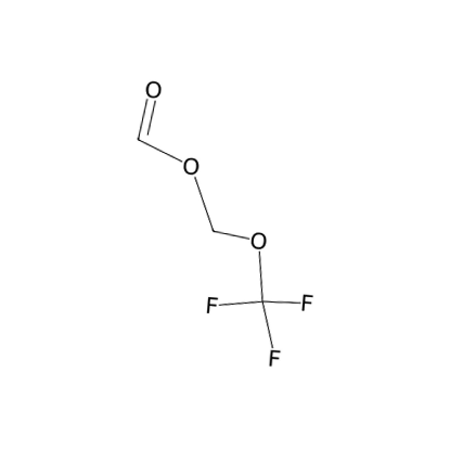 O=COCOC(F)(F)F